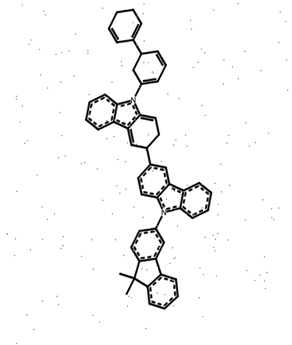 CC1(C)c2ccccc2-c2cc(-n3c4ccccc4c4cc(C5C=c6c(n(C7=CC=CC(C8=CCCC=C8)C7)c7ccccc67)=CC5)ccc43)ccc21